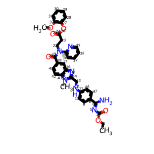 CCOC(=O)/N=C(\N)c1ccc(NCc2nc3cc(C(=O)N(CCC(=O)Oc4ccccc4OC)c4ccccn4)ccc3n2C)cc1